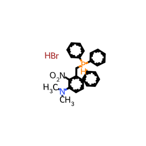 Br.CN(C)c1cccc(C[PH](c2ccccc2)(c2ccccc2)c2ccccc2)c1[N+](=O)[O-]